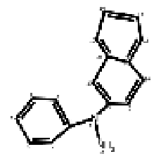 NN(c1ccccc1)c1ccc2ccccc2c1